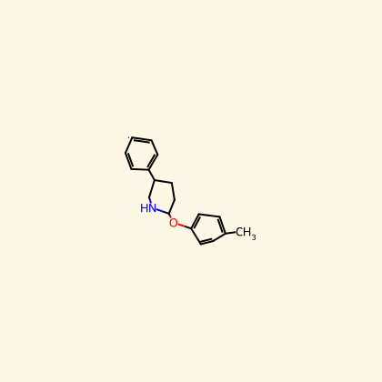 Cc1ccc(OC2CCC(c3cc[c]cc3)CN2)cc1